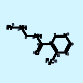 CC(C)NCNC(=O)c1cnccc1C(F)(F)F